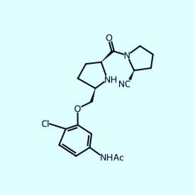 CC(=O)Nc1ccc(Cl)c(OC[C@H]2CC[C@@H](C(=O)N3CCC[C@H]3C#N)N2)c1